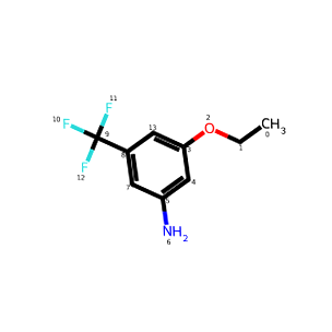 CCOc1cc(N)cc(C(F)(F)F)c1